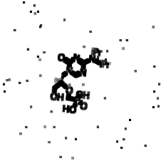 CC(C)N(c1ncn(C[C@@H](CO)OCP(=O)(O)O)c(=O)n1)C(C)C